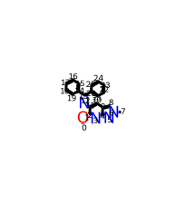 COc1nc2nn(C)cc2cc1N=C(c1ccccc1)c1ccccc1